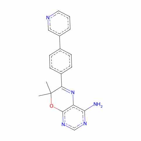 CC1(C)Oc2ncnc(N)c2N=C1c1ccc(-c2cccnc2)cc1